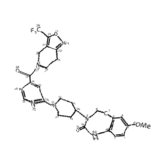 COc1ccc2c(c1)CCN(C1CCN(c3cc(C(=O)N4CCc5noc(C(F)(F)F)c5C4)ncn3)CC1)C(=O)N2